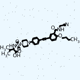 CCCCOc1ccc(C#Cc2ccc(N3CCN(S(=O)(=O)NC(C(=O)O)C(C)C)CC3)cc2)cc1C(=O)NCC#N